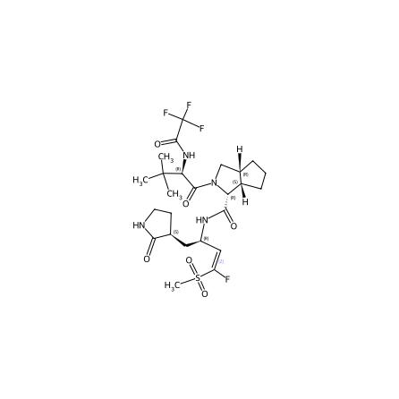 CC(C)(C)[C@@H](NC(=O)C(F)(F)F)C(=O)N1C[C@@H]2CCC[C@@H]2[C@@H]1C(=O)N[C@@H](/C=C(/F)S(C)(=O)=O)C[C@@H]1CCNC1=O